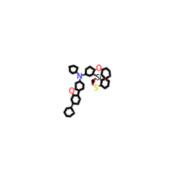 c1ccc(-c2ccc3c(c2)oc2cc(N(c4ccccc4)c4ccc5c(c4)[Si]4(c6ccccc6O5)c5ccccc5Sc5ccccc54)ccc23)cc1